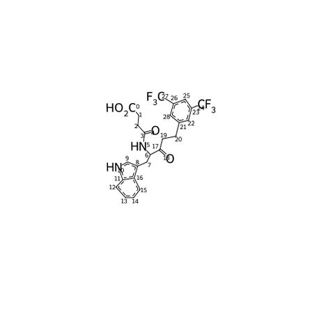 O=C(O)CCC(=O)NC(Cc1c[nH]c2ccccc12)C(=O)CCc1cc(C(F)(F)F)cc(C(F)(F)F)c1